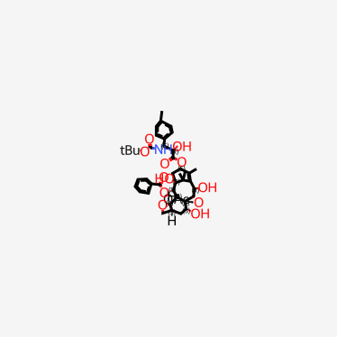 CC(=O)O[C@@]12OC[C@@H]1C[C@H](O)[C@@]1(C)C(=O)[C@H](O)C3=C(C)[C@@H](OC(=O)[C@H](O)[C@@H](NC(=O)OC(C)(C)C)c4ccc(C)cc4)C[C@@](O)([C@@H](OC(=O)c4ccccc4)[C@H]21)C3(C)C